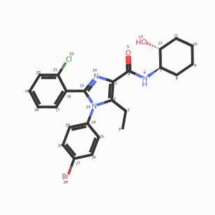 CCc1c(C(=O)N[C@@H]2CCCC[C@H]2O)nc(-c2ccccc2Cl)n1-c1ccc(Br)cc1